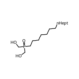 CCCCCCCCCCCCCCP(=O)(CO)CO